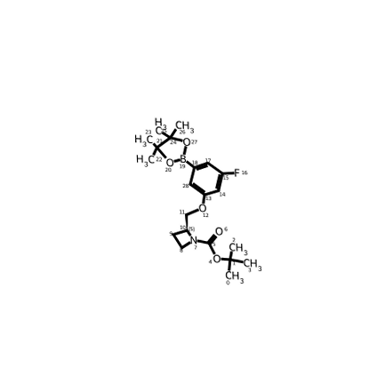 CC(C)(C)OC(=O)N1CC[C@H]1COc1cc(F)cc(B2OC(C)(C)C(C)(C)O2)c1